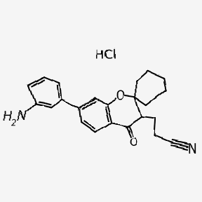 Cl.N#CCCC1C(=O)c2ccc(-c3cccc(N)c3)cc2OC12CCCCC2